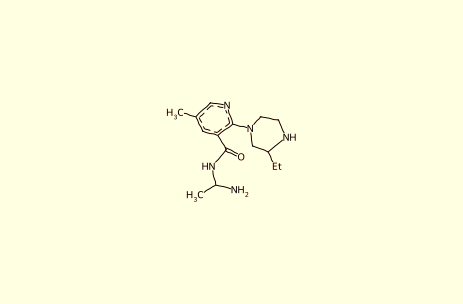 CCC1CN(c2ncc(C)cc2C(=O)NC(C)N)CCN1